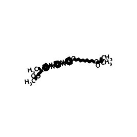 CCC(=O)OCCN(CC)c1ccc(N=Nc2ccc(N=Nc3ccc(OCCCCCCCCCOC(=O)C(C)CC)cc3)cc2)cc1